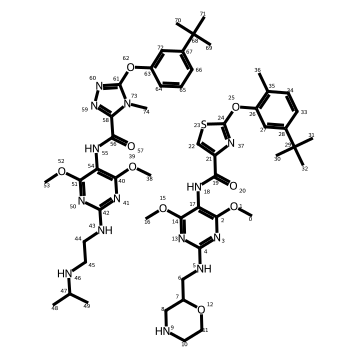 COc1nc(NCC2CNCCO2)nc(OC)c1NC(=O)c1csc(Oc2cc(C(C)(C)C)ccc2C)n1.COc1nc(NCCNC(C)C)nc(OC)c1NC(=O)c1nnc(Oc2cccc(C(C)(C)C)c2)n1C